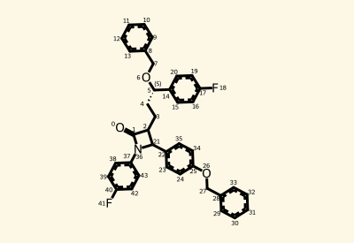 O=C1C(CC[C@H](OCc2ccccc2)c2ccc(F)cc2)C(c2ccc(OCc3ccccc3)cc2)N1c1ccc(F)cc1